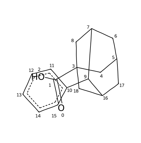 O=C(O)C12CC3CC(C1)C(c1ccccc1)C(C3)C2